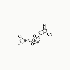 N#Cc1c[nH]c2ccc(N3CCC(O)(OC(=O)NCc4cc(F)cc(Cl)c4)C3=O)cc12